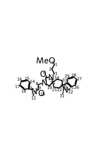 COCCCN1C(=O)N(CC(=O)N(C)c2ccccc2)CC12CCC(c1ccccc1)(N(C)C)CC2